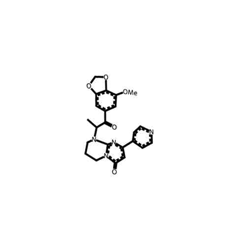 COc1cc(C(=O)C(C)N2CCCn3c2nc(-c2ccncc2)cc3=O)cc2c1OCO2